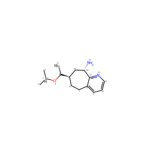 C[SiH](C)OC([C@@H]1CCc2cccnc2[C@@H](N)C1)C(C)(C)C